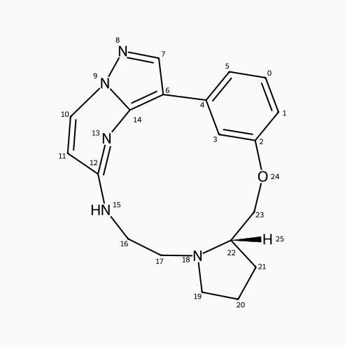 c1cc2cc(c1)-c1cnn3ccc(nc13)NCCN1CCC[C@H]1CO2